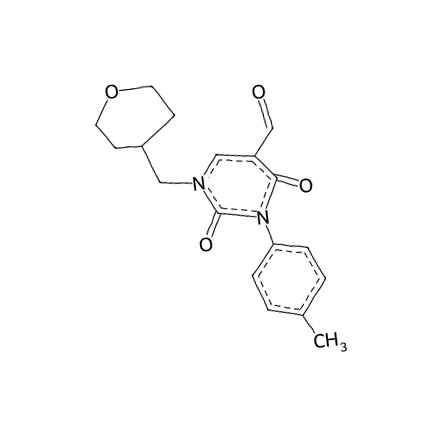 Cc1ccc(-n2c(=O)c(C=O)cn(CC3CCOCC3)c2=O)cc1